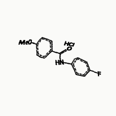 COc1ccc(C(=O)Nc2ccc(F)cc2)cc1.Cl